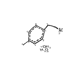 CC(=O)Cc1ccc(C)cc1.O.O